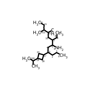 CCCC(CC(N)C(CC)CC(C)C(C)CC)C1CC(C(C)C)C1